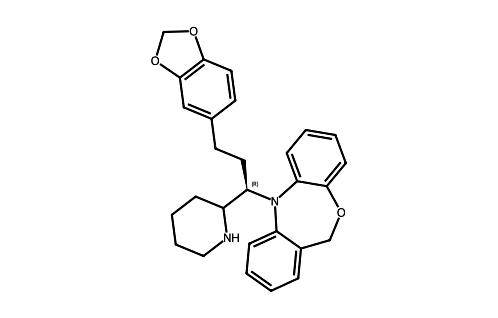 c1ccc2c(c1)COc1ccccc1N2[C@H](CCc1ccc2c(c1)OCO2)C1CCCCN1